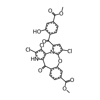 COC(=O)c1ccc(C(=O)c2cc(Cl)c3n2-c2c([nH]c(Cl)c2Cl)C(=O)c2ccc(C(=O)OC)cc2O3)c(O)c1